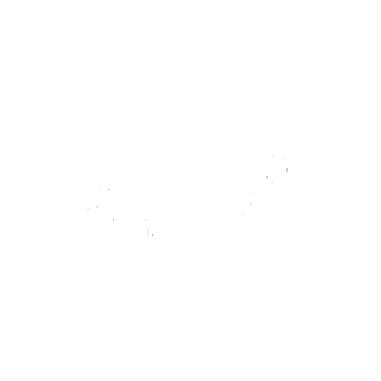 CC(C)(Sc1nc(CCOc2ccc(-c3ccc(F)cc3)cc2F)cs1)C(=O)O